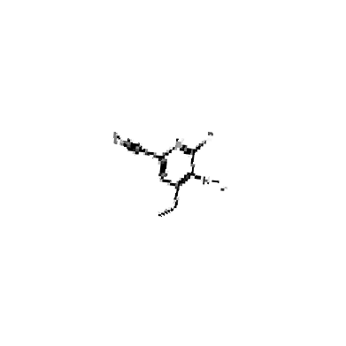 CCc1cc(C#N)nc(F)c1N